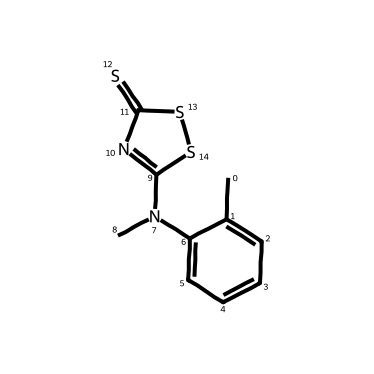 Cc1ccccc1N(C)c1nc(=S)ss1